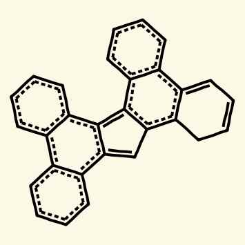 C1=CCc2c3c(c4ccccc4c2=C1)=c1c(c2ccccc2c2ccccc12)=C3